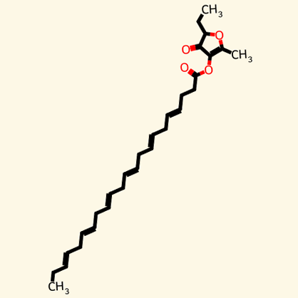 CCC=CCC=CCC=CCC=CCC=CCC=CCCC(=O)OC1=C(C)OC(CC)C1=O